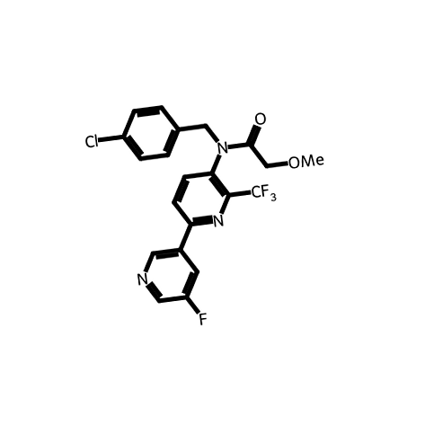 COCC(=O)N(Cc1ccc(Cl)cc1)c1ccc(-c2cncc(F)c2)nc1C(F)(F)F